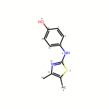 CC(=O)c1sc(Nc2ccc(O)cc2)nc1C